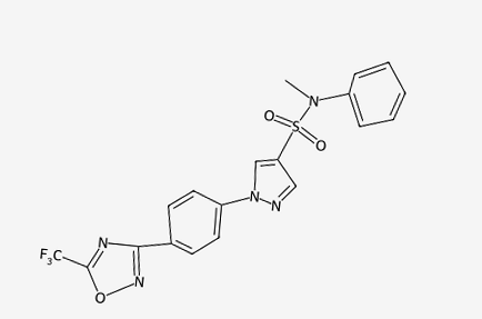 CN(c1ccccc1)S(=O)(=O)c1cnn(-c2ccc(-c3noc(C(F)(F)F)n3)cc2)c1